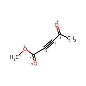 COC(=O)C#CC(C)=O